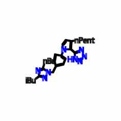 CCCCCc1ccn(-c2ccc(Cn3nc(C(C)CC)nc3CCCC)cc2)c1-c1nnn[nH]1